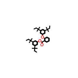 CCC(C)(C)c1cc(OC(=O)c2ccccc2Oc2cc(C(C)(C)CC)cc(C(C)(C)CC)c2)cc(C(C)(C)CC)c1